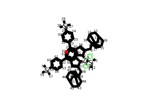 C[SiH](C)[Zr]([Cl])([Cl])([CH]1C(CC23CC4CC(CC(C4)C2)C3)=Cc2c(-c3ccc([Si](C)(C)C)cc3)cccc21)[CH]1C(CC23CC4CC(CC(C4)C2)C3)=Cc2c(-c3ccc([Si](C)(C)C)cc3)cccc21